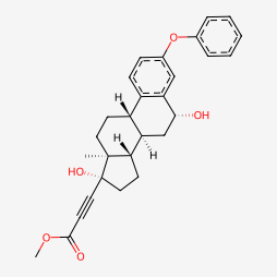 COC(=O)C#C[C@]1(O)CC[C@H]2[C@@H]3C[C@@H](O)c4cc(Oc5ccccc5)ccc4[C@H]3CC[C@@]21C